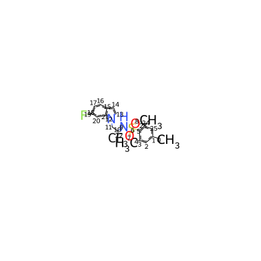 Cc1cc(C)c(S(=O)(=O)NC(Cn2ccc3ccc(F)cc32)C(F)(F)F)c(C)c1